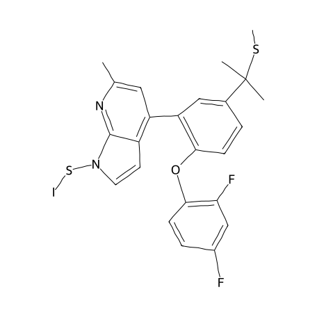 CSC(C)(C)c1ccc(Oc2ccc(F)cc2F)c(-c2cc(C)nc3c2ccn3SI)c1